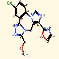 COCc1nnc2n1Cc1c(-c3ncco3)ncn1-c1ccc(Cl)cc1-2